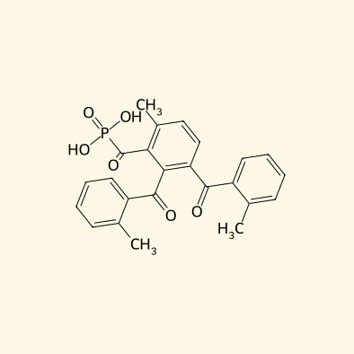 Cc1ccccc1C(=O)c1ccc(C)c(C(=O)P(=O)(O)O)c1C(=O)c1ccccc1C